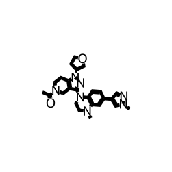 CC(=O)N1CCc2c(c(N3CCN(C)c4cc(-c5cnn(C)c5)ccc43)nn2[C@H]2CCOC2)C1